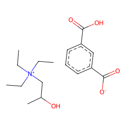 CC[N+](CC)(CC)CC(C)O.O=C([O-])c1cccc(C(=O)O)c1